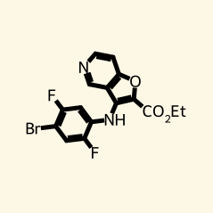 CCOC(=O)c1oc2ccncc2c1Nc1cc(F)c(Br)cc1F